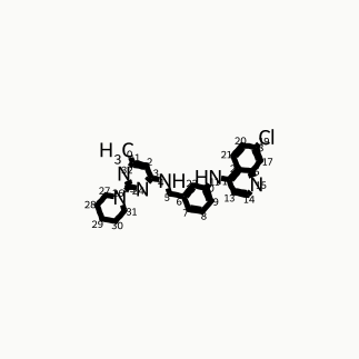 Cc1cc(NCc2cccc(Nc3ccnc4cc(Cl)ccc34)c2)nc(N2CCCCC2)n1